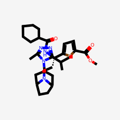 COC(=O)c1ccc([C@H](CCN2C3CCC2CC(n2c(C)nnc2C(C)C)C3)NC(=O)C2CCCCC2)s1